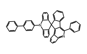 c1ccc(-c2ccc(N3c4ccccc4C4(c5ccccc5-c5c(-c6ccccc6)nc6ccccc6c54)c4ccccc43)cc2)cc1